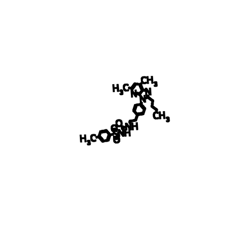 CCCCc1nc2c(C)cc(C)nc2n1-c1ccc(CCNC(=O)NS(=O)(=O)c2ccc(C)cc2)cc1